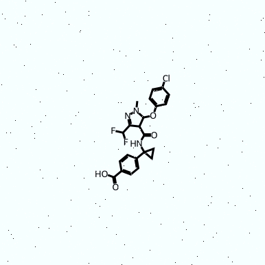 CN1N=C(C(F)F)C(C(=O)NC2(c3ccc(C(=O)O)cc3)CC2)C1Oc1ccc(Cl)cc1